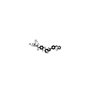 CC(C)NC(=O)Nc1ccc(Oc2ccnc3cc(-c4ccc(CN5CCCC5=O)cc4)sc23)c(F)c1